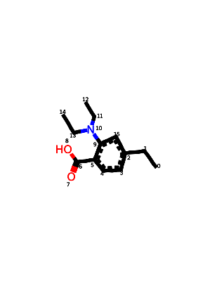 CCc1ccc(C(=O)O)c(N(CC)CC)c1